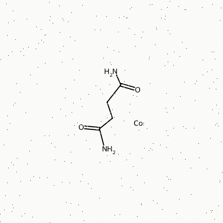 NC(=O)CCC(N)=O.[Co]